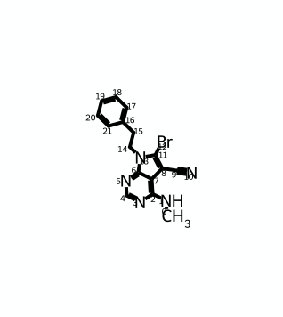 CNc1ncnc2c1c(C#N)c(Br)n2CCc1ccccc1